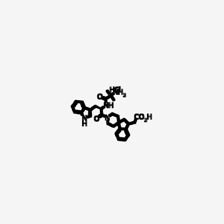 CC(C)(N)C(=O)N[C@H](Cc1c[nH]c2ccccc12)C(=O)N1CCC2(CC1)CC(CC(=O)O)c1ccccc12.Cl